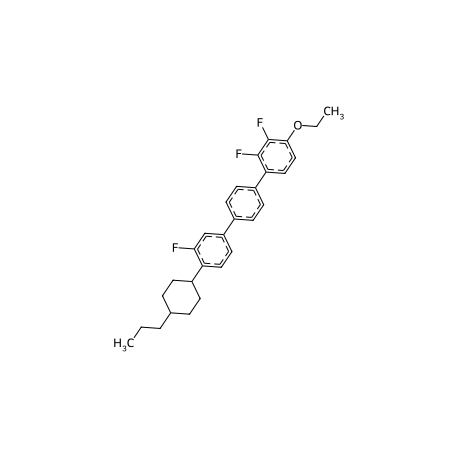 CCCC1CCC(c2ccc(-c3ccc(-c4ccc(OCC)c(F)c4F)cc3)cc2F)CC1